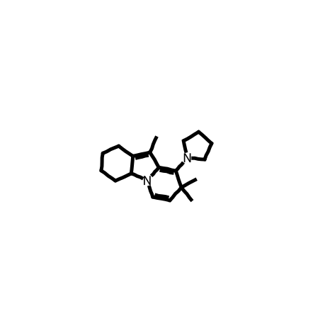 CC1=C2CCCCC2N2C=CC(C)(C)C(N3CCCC3)=C12